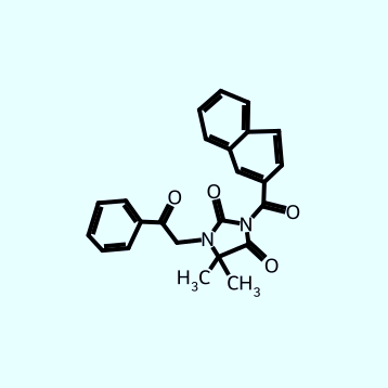 CC1(C)C(=O)N(C(=O)c2ccc3ccccc3c2)C(=O)N1CC(=O)c1ccccc1